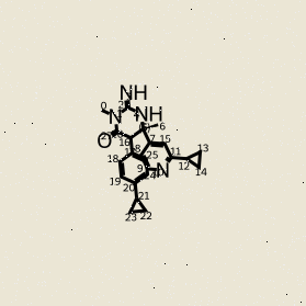 CN1C(=N)N[C@](C)(c2ccnc(C3CC3)c2)C(c2ccc(C3CC3)cc2)C1=O